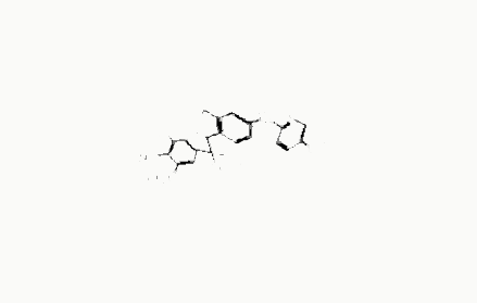 Cc1cc([C@@](O)([C@@H](C)c2ccc(Oc3ccc(C(=O)O)cn3)cc2Cl)C(F)(F)F)cc(C)c1C#N